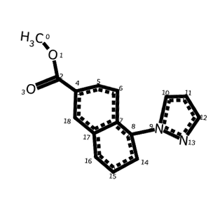 COC(=O)c1ccc2c(-n3cccn3)cccc2c1